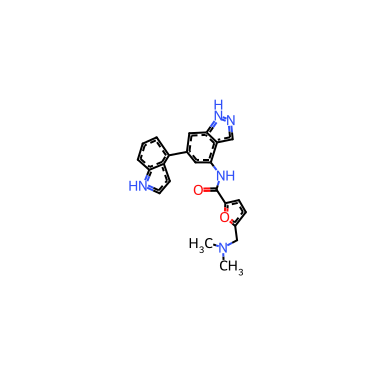 CN(C)Cc1ccc(C(=O)Nc2cc(-c3cccc4[nH]ccc34)cc3[nH]ncc23)o1